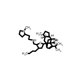 CCCCC1CC(C23C[C@@H]4[C@H](C)CC[C@H]4C4(C=O)CC2C=C(C(C)C)C34C(=O)O)OC1CNCCC1CCCN1C